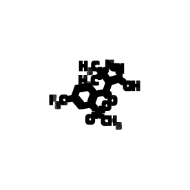 CC1(C)N=NC(O)=C1C(=O)c1ccc(C(F)(F)F)cc1S(C)(=O)=O